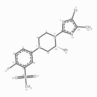 CCc1sc(N2CCN(c3ccc(F)c(S(C)(=O)=O)c3)C[C@H]2C(C)C)nc1C